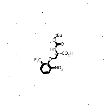 CC(C)(C)OC(=O)N[C@@H](COc1c([N+](=O)[O-])cccc1C(F)(F)F)C(=O)O